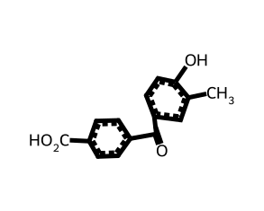 Cc1cc(C(=O)c2ccc(C(=O)O)cc2)ccc1O